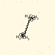 CC1(C)N=C(/C=C/CCCCCC/C=C/C2=NC(C)(C)C(=O)O2)OC1=O